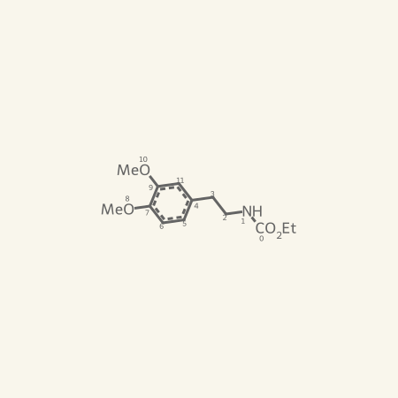 CCOC(=O)NCCc1ccc(OC)c(OC)c1